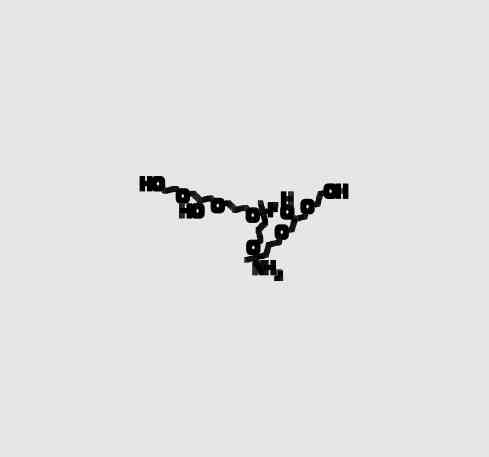 CC(N)(CCCOCC(O)COCCO)OCCCC(C)(F)OCCCOCC(O)COCCO